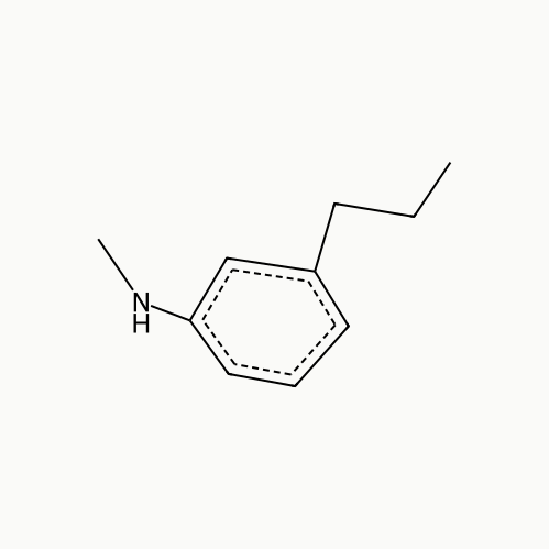 CCCc1cccc(NC)c1